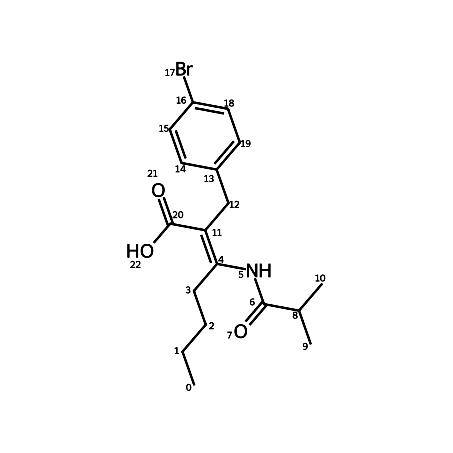 CCCC/C(NC(=O)C(C)C)=C(/Cc1ccc(Br)cc1)C(=O)O